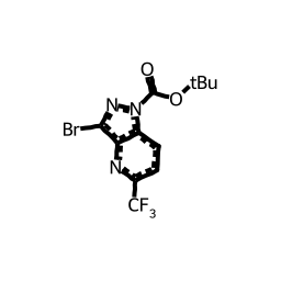 CC(C)(C)OC(=O)n1nc(Br)c2nc(C(F)(F)F)ccc21